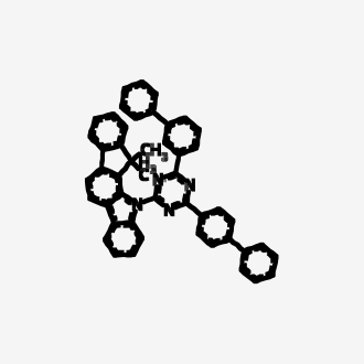 CC1(C)c2ccccc2-c2ccc3c4ccccc4n(-c4nc(-c5ccc(-c6ccccc6)cc5)nc(-c5cccc(-c6ccccc6)c5)n4)c3c21